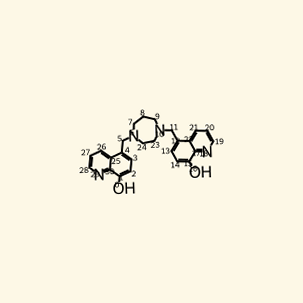 Oc1ccc(CN2CCCN(Cc3ccc(O)c4ncccc34)CC2)c2cccnc12